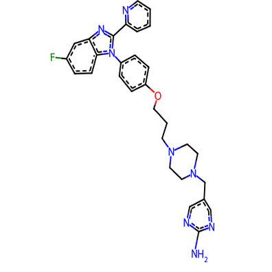 Nc1ncc(CN2CCN(CCCOc3ccc(-n4c(-c5ccccn5)nc5cc(F)ccc54)cc3)CC2)cn1